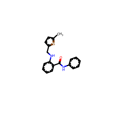 Cc1ccc(CNc2ccccc2C(=O)Nc2ccccc2)s1